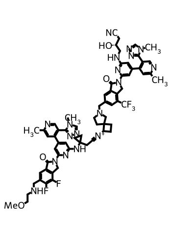 COCCNCc1cc2c(c(F)c1F)CN(c1cc(-c3cc(C)ncc3-c3nncn3C)cc(NC3(CC#[N+]C4CCC45CCN(Cc4cc6c(c(C(F)(F)F)c4)CN(c4cc(-c7cc(C)ncc7-c7nncn7C)cc(NC[C@H](O)CC#N)n4)C6=O)C5)CC3)n1)C2=O